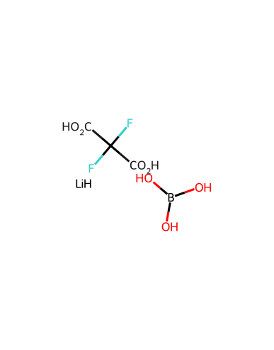 O=C(O)C(F)(F)C(=O)O.OB(O)O.[LiH]